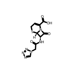 O=C(Cn1cnnn1)N[C@@H]1C(=O)N2C(C(=O)O)=CCS[C@@H]12